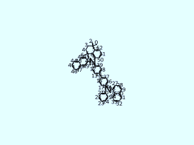 CC1(C)CCC(C)(C)c2c(N(c3ccc(-c4ccc(N(c5ccccc5)c5cccc6ccccc56)cc4)cc3)c3ccc4ccccc4c3)cccc21